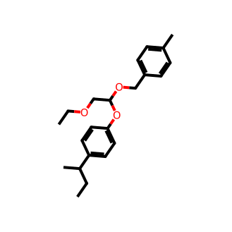 CCOCC(OCc1ccc(C)cc1)Oc1ccc(C(C)CC)cc1